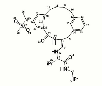 CC(C)CNC(=O)[C@@H](NC[C@@H]1Cc2cccc(c2)CCCCc2cc(cc(N(C)S(C)(=O)=O)c2)C(=O)N1)C(C)C